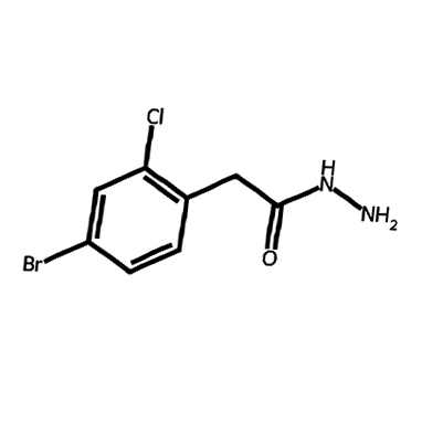 NNC(=O)Cc1ccc(Br)cc1Cl